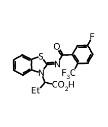 CCC(C(=O)O)n1c(=NC(=O)c2cc(F)ccc2C(F)(F)F)sc2ccccc21